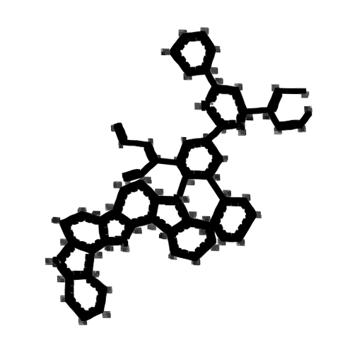 C=C/C=C(\C=C)c1cc(-c2nc(C(/C=C\C)=C/C)cc(-c3ccccc3)n2)cc(-c2ccccc2)c1-n1c2ccccc2c2c3sc4c(ccc5sc6ccccc6c54)c3ccc21